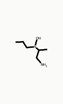 CCCN(O)C(C)CN